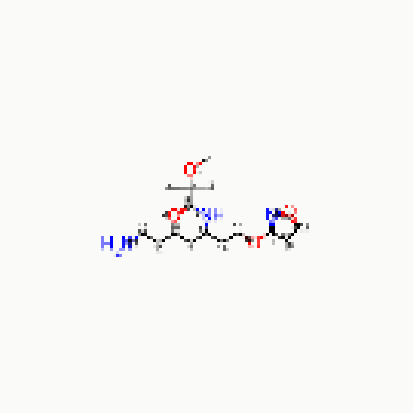 COC(C)(C)C(=O)NC(CCCCN)CCOc1ccon1